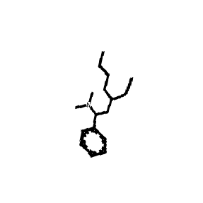 CCCCC(CC)CC(c1ccccc1)N(C)C